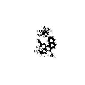 C=C(C#N)CN(C(=O)OC(C)(C)C)c1c(COC)ccc2ccc(B3OC(C)(C)C(C)(C)O3)cc12